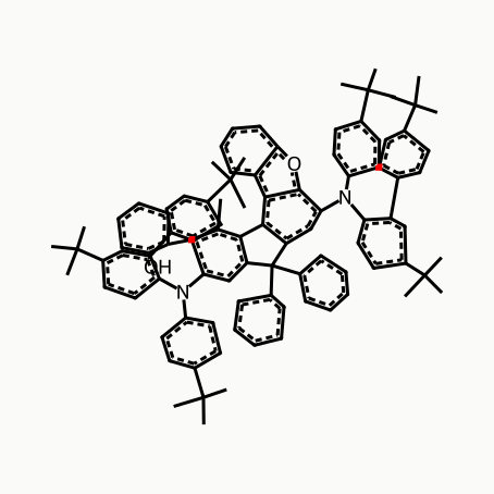 Cc1c(-c2ccccc2O)c(N(c2ccc(C(C)(C)C)cc2)c2ccc(C(C)(C)C)cc2-c2ccc(C(C)(C)C)cc2)cc2c1-c1c(cc(N(c3ccc(C(C)(C)C)cc3)c3ccc(C(C)(C)C)cc3-c3ccc(C(C)(C)C)cc3)c3oc4ccccc4c13)C2(c1ccccc1)c1ccccc1